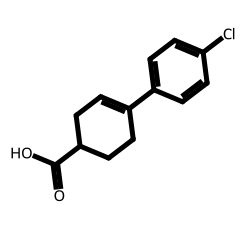 O=C(O)C1CC=C(c2ccc(Cl)cc2)CC1